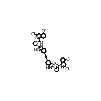 COc1cccc2c(C(=O)N3CCC[C@H]3c3nc4cc(C#Cc5ccc6nc([C@@H]7CCCN7C(=O)c7nc(Cl)cc8c(OC)cccc78)[nH]c6c5)ccc4[nH]3)nc(Cl)cc12